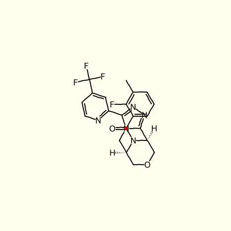 Cc1cccc(C(=O)N2[C@H]3COC[C@@H]2c2nnc(-c4cc(C(F)(F)F)ccn4)n2C3)c1F